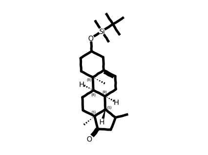 CC1CC(=O)[C@@]2(C)CC[C@@H]3[C@@H](CC=C4CC(O[Si](C)(C)C(C)(C)C)CC[C@@]43C)[C@H]12